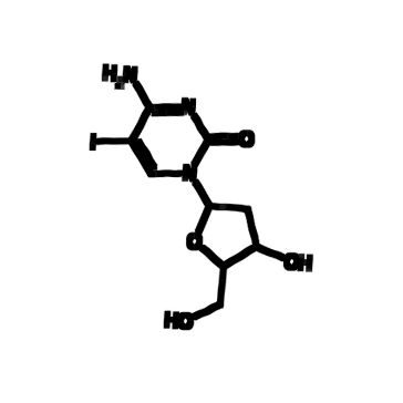 Nc1nc(=O)n(C2CC(O)C(CO)O2)cc1I